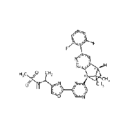 CC(NS(C)(=O)=O)c1coc(-c2cncc([C@@]34CC[C@@H](c5cc(-c6c(F)cccc6F)nnc53)C4(C)C)n2)n1